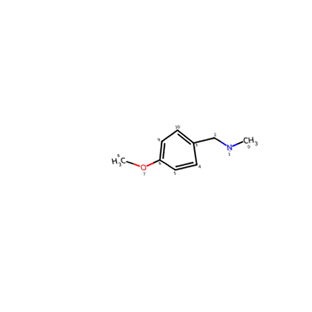 C[N]Cc1ccc(OC)cc1